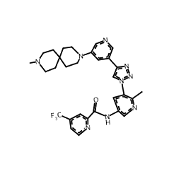 Cc1ncc(NC(=O)c2cc(C(F)(F)F)ccn2)cc1-n1cc(-c2cncc(N3CCC4(CCN(C)CC4)CC3)c2)nn1